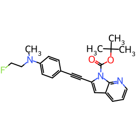 CN(CCF)c1ccc(C#Cc2cc3cccnc3n2C(=O)OC(C)(C)C)cc1